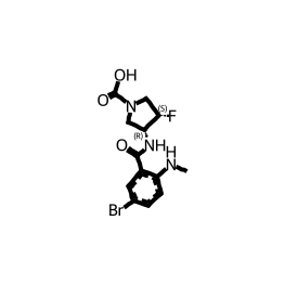 CNc1ccc(Br)cc1C(=O)N[C@@H]1CN(C(=O)O)C[C@@H]1F